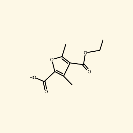 CCOC(=O)c1c(C)oc(C(=O)O)c1C